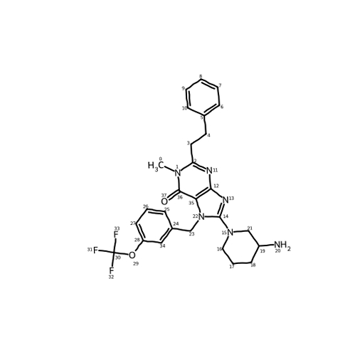 Cn1c(CCc2ccccc2)nc2nc(N3CCCC(N)C3)n(Cc3cccc(OC(F)(F)F)c3)c2c1=O